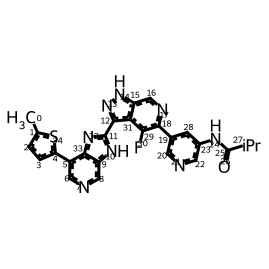 Cc1ccc(-c2cncc3[nH]c(-c4n[nH]c5cnc(-c6cncc(NC(=O)C(C)C)c6)c(F)c45)nc23)s1